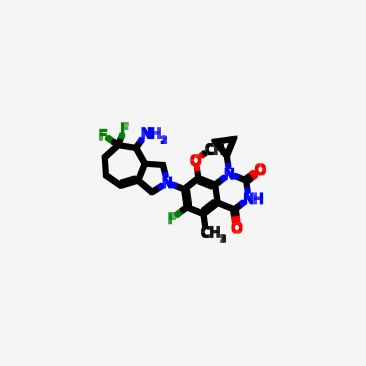 COc1c(N2CC3=CCCC(F)(F)C(N)C3C2)c(F)c(C)c2c(=O)[nH]c(=O)n(C3CC3)c12